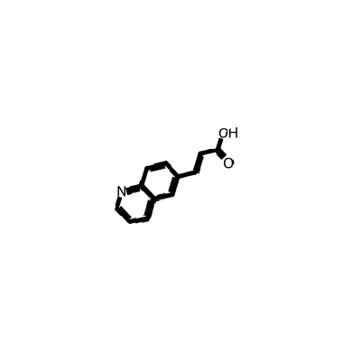 O=C(O)/C=C/c1ccc2ncccc2c1